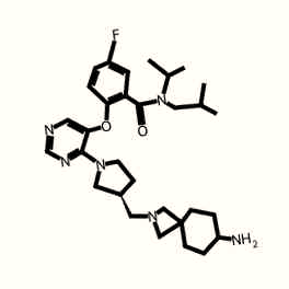 CC(C)CN(C(=O)c1cc(F)ccc1Oc1cncnc1N1CC[C@@H](CN2CC3(CCC(N)CC3)C2)C1)C(C)C